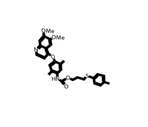 COc1cc2nccc(Oc3cc(C)c(NC(=O)OCCCSc4ccc(C)cc4)cc3C)c2cc1OC